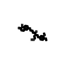 COc1ccc(CCN(CCO)C(=O)CCCOc2ccc3c(c2)CCC(=O)N3)cc1OC